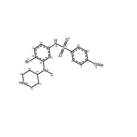 COc1ccc(S(=O)(=O)Nc2ccc(Br)c(N(C)C3CCNCC3)c2)cc1